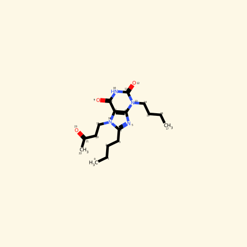 CCCCc1nc2c(c(=O)[nH]c(=O)n2CCCC)n1CCC(C)=O